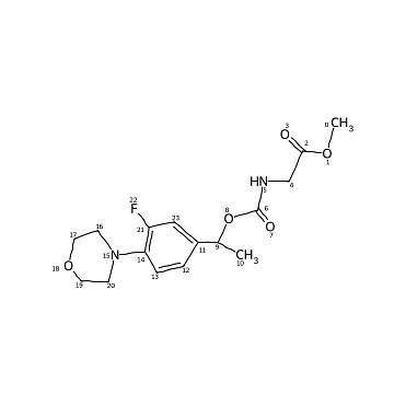 COC(=O)CNC(=O)OC(C)c1ccc(N2CCOCC2)c(F)c1